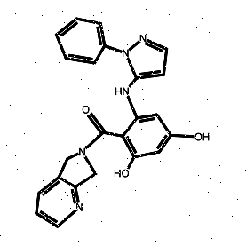 O=C(c1c(O)cc(O)cc1Nc1ccnn1-c1ccccc1)N1Cc2cccnc2C1